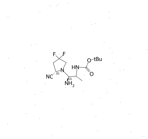 CC(NC(=O)OC(C)(C)C)[C@@H](N)N1CC(F)(F)C[C@H]1C#N